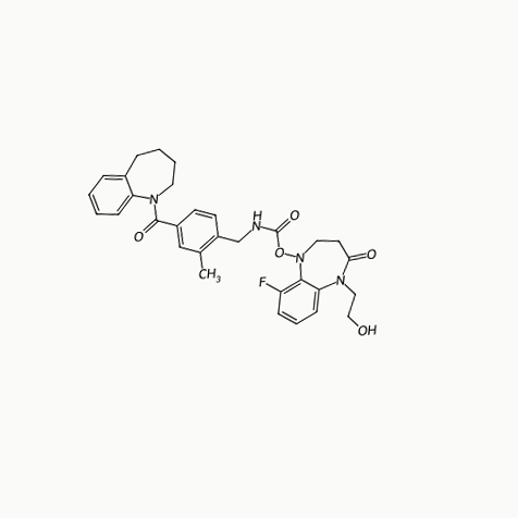 Cc1cc(C(=O)N2CCCCc3ccccc32)ccc1CNC(=O)ON1CCC(=O)N(CCO)c2cccc(F)c21